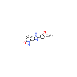 COc1ccc(-c2nc3cc4c(cc3[nH]2)C(C)(C)CC(=O)N4)cc1O